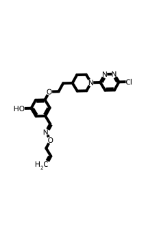 C=CCON=Cc1cc(O)cc(OCCC2CCN(c3ccc(Cl)nn3)CC2)c1